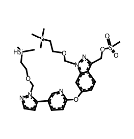 C[SiH](C)CCOCn1nccc1-c1ccc(Oc2ccc3c(COS(C)(=O)=O)nn(COCC[Si](C)(C)C)c3c2)nc1